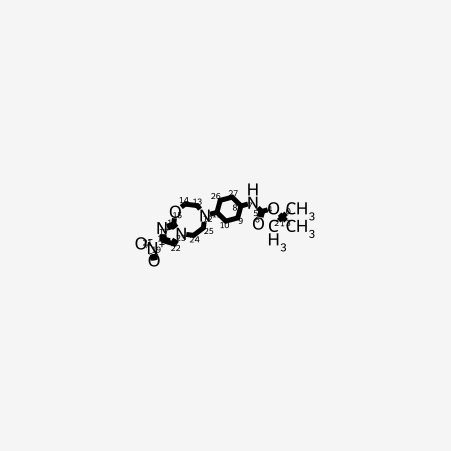 CC(C)(C)OC(=O)NC1CCC(N2CCOc3nc([N+](=O)[O-])cn3CC2)CC1